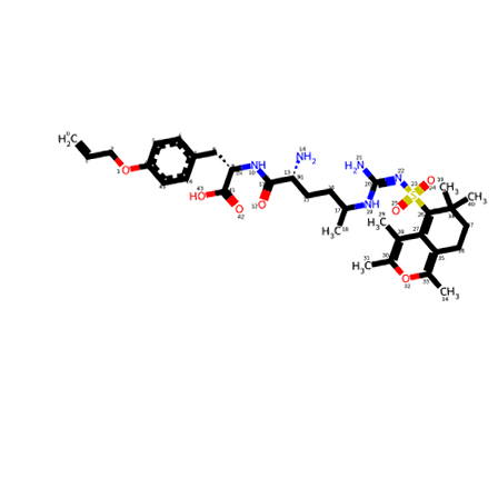 C=CCOc1ccc(C[C@H](NC(=O)[C@H](N)CCC(C)NC(N)=NS(=O)(=O)C2=C3C(C)=C(C)OC(C)=C3CCC2(C)C)C(=O)O)cc1